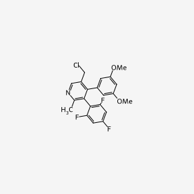 COc1cc(OC)cc(-c2c(CCl)cnc(C)c2-c2c(F)cc(F)cc2F)c1